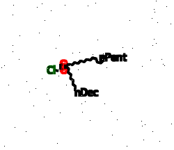 CCCCC/C=C\C/C=C\CCCCCCCCC1(CCCCCCCCCCCCCCCCCC)OC[C@@H](CCl)O1